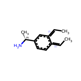 C/C=c1/ccc([C@@H](C)N)c/c1=C/C